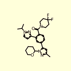 Cc1cc(-c2ccc(C(=O)N3CCC(F)(F)CC3)c(-c3ccn(C(C)C)n3)c2)n(C2CCCCO2)n1